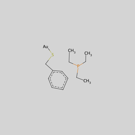 CCP(CC)CC.[Au][S]Cc1ccccc1